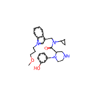 COCCCn1cc(CN(C(=O)C2CNCCN2c2cccc(O)c2)C2CC2)c2ccccc21